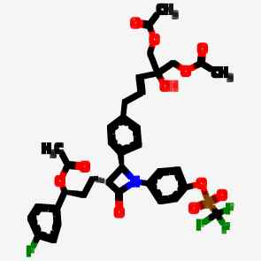 CC(=O)OCC(O)(/C=C/Cc1ccc([C@@H]2[C@@H](CC[C@H](OC(C)=O)c3ccc(F)cc3)C(=O)N2c2ccc(OS(=O)(=O)C(F)(F)F)cc2)cc1)COC(C)=O